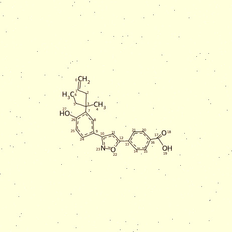 C=CCC(C)(CC)c1cc(-c2cc(-c3ccc(C(=O)O)cc3)on2)ccc1O